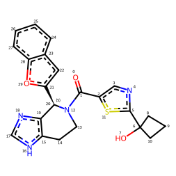 O=C(c1cnc(C2(O)CCC2)s1)N1CCc2[nH]cnc2[C@H]1c1cc2ccccc2o1